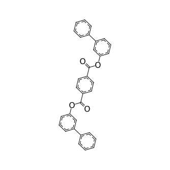 O=C(Oc1cccc(-c2ccccc2)c1)c1ccc(C(=O)Oc2cccc(-c3ccccc3)c2)cc1